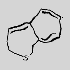 [C]1=CC2=CCSC2=C1